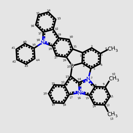 Cc1cc2c3c(c1)-n1c4c(C)cc(C)cc4n4c5ccccc5c(c14)B3c1cc3c(cc1-2)c1ccccc1n3-c1ccccc1